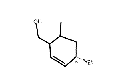 CC[C@@H]1C=CC(CO)C(C)C1